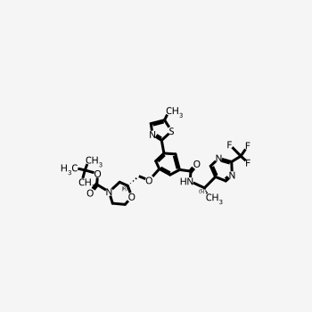 Cc1cnc(-c2cc(OC[C@H]3CN(C(=O)OC(C)(C)C)CCO3)cc(C(=O)N[C@@H](C)c3cnc(C(F)(F)F)nc3)c2)s1